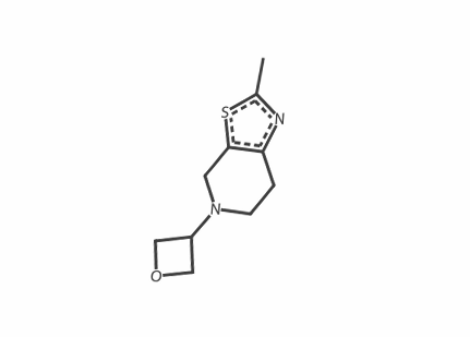 Cc1nc2c(s1)CN(C1COC1)CC2